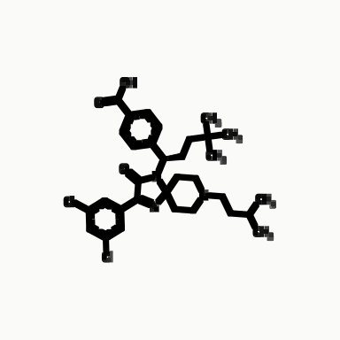 CC(C)CCN1CCC2(CC1)N=C(c1cc(Cl)cc(Cl)c1)C(=O)N2[C@H](CCC(C)(C)C)c1ccc(C(=O)O)cc1